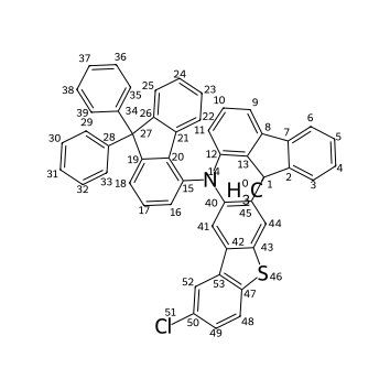 CC12c3ccccc3-c3cccc(c31)N(c1cccc3c1-c1ccccc1C3(c1ccccc1)c1ccccc1)c1cc3c(cc12)sc1ccc(Cl)cc13